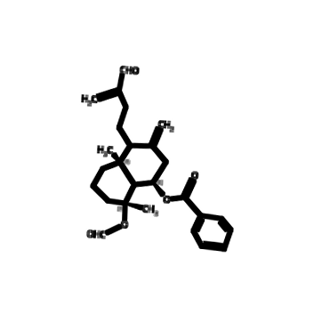 C=C(C=O)CCC1C(=C)C[C@@H](OC(=O)c2ccccc2)C2[C@]1(C)CCC[C@@]2(C)OC=O